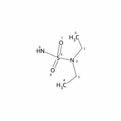 CCN(CC)S([NH])(=O)=O